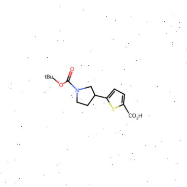 CC(C)(C)OC(=O)N1CCC(c2ccc(C(=O)O)s2)C1